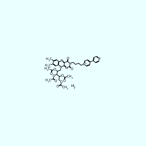 CC(=O)OCC(OC(C)=O)C(OC(C)=O)C(Cn1c2nc(=O)n(CCCC[n+]3ccc(-c4ccncc4)cc3)c(=O)c-2nc2cc(C)c(C)cc21)OC(C)=O.I.[I-]